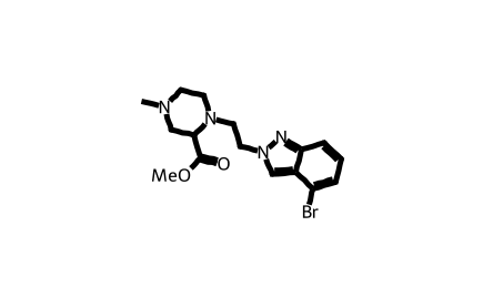 COC(=O)C1CN(C)CCN1CCn1cc2c(Br)cccc2n1